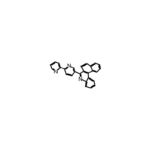 c1ccc(-c2ccc(-c3nc4ccccc4c4c3ccc3ccccc34)cn2)nc1